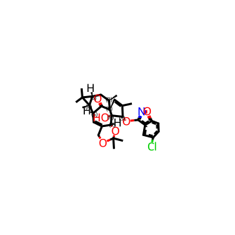 CC1=C[C@]23C(=O)[C@@H](C=C4COC(C)(C)O[C@H]4[C@]2(O)[C@H]1Oc1noc2ccc(Cl)cc12)[C@@]1(C)[C@@H](C[C@H]3C)C1(C)C